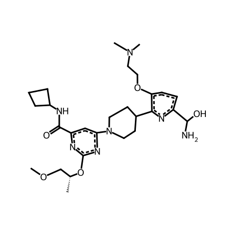 COC[C@@H](C)Oc1nc(C(=O)NC2CCC2)cc(N2CCC(c3nc(C(N)O)ccc3OCCN(C)C)CC2)n1